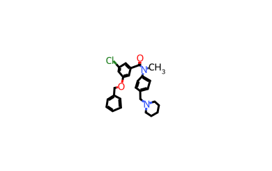 CN(C(=O)c1cc(Cl)cc(OCc2ccccc2)c1)c1ccc(CN2CCCCC2)cc1